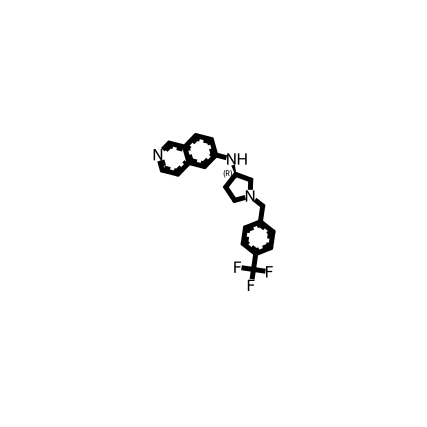 FC(F)(F)c1ccc(CN2CC[C@@H](Nc3ccc4cnccc4c3)C2)cc1